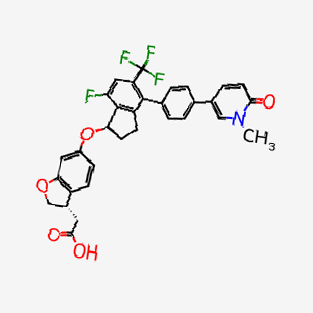 Cn1cc(-c2ccc(-c3c(C(F)(F)F)cc(F)c4c3CC[C@H]4Oc3ccc4c(c3)OC[C@H]4CC(=O)O)cc2)ccc1=O